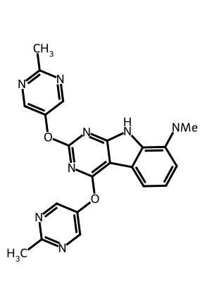 CNc1cccc2c1[nH]c1nc(Oc3cnc(C)nc3)nc(Oc3cnc(C)nc3)c12